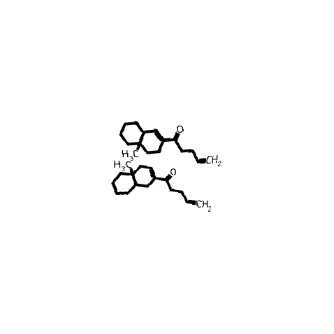 C=CCCC(=O)C1=CC2CCCCC2(C)CC1.C=CCCC(=O)C1=CCC2(C)CCCCC2C1